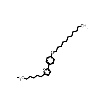 CCCCCCCCCCCOc1ccc(-c2ccc(CCCCCC)s2)cc1